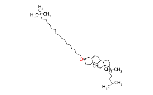 CC(C)CCCC(C)C1CCC2C3CC=C4C[C@@H](OCCCCCCCCCCCCCCCCC(C)(C)C)CCC4(C)C3CCC12C